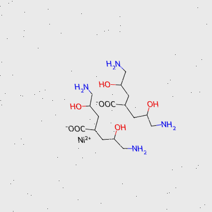 NCC(O)CC(CC(O)CN)C(=O)[O-].NCC(O)CC(CC(O)CN)C(=O)[O-].[Ni+2]